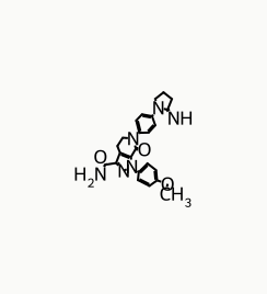 COc1ccc(-n2nc(C(N)=O)c3c2C(=O)N(c2ccc(N4CCCC4=N)cc2)CC3)cc1